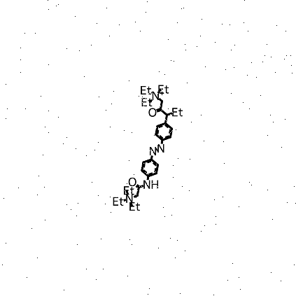 CCC(C(=O)C[N+](CC)(CC)CC)c1ccc(/N=N/c2ccc(NC(=O)C[N+](CC)(CC)CC)cc2)cc1